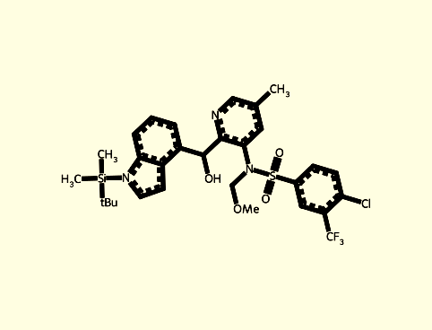 COCN(c1cc(C)cnc1C(O)c1cccc2c1ccn2[Si](C)(C)C(C)(C)C)S(=O)(=O)c1ccc(Cl)c(C(F)(F)F)c1